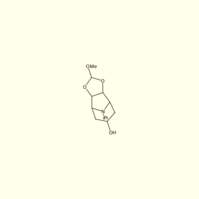 COC1OC2C(O1)C1CC(O)CC2N1C(C)C